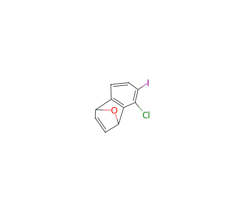 Clc1c(I)ccc2c1C1C=CC2O1